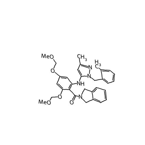 COCOc1cc(Nc2cc(C)nn2Cc2ccccc2C)c(C(=O)N2Cc3ccccc3C2)c(OCOC)c1